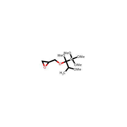 COC(C)C(OC)(OCC1CO1)[Si](OC)(OC)OC